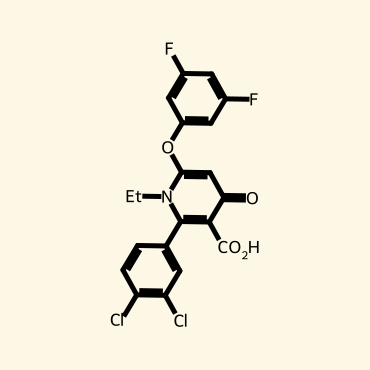 CCn1c(Oc2cc(F)cc(F)c2)cc(=O)c(C(=O)O)c1-c1ccc(Cl)c(Cl)c1